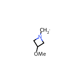 [CH2]N1CC(OC)C1